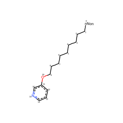 CCCCCCCCCCCCCCCCCCOc1cccnc1